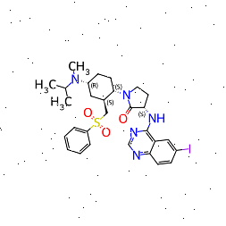 CC(C)N(C)[C@@H]1CC[C@H](N2CC[C@H](Nc3ncnc4ccc(I)cc34)C2=O)[C@@H](CS(=O)(=O)c2ccccc2)C1